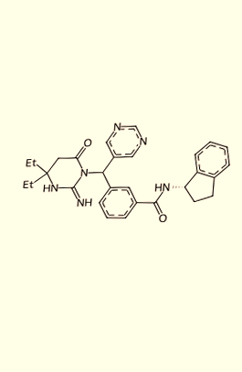 CCC1(CC)CC(=O)N(C(c2cncnc2)c2cccc(C(=O)N[C@H]3CCc4ccccc43)c2)C(=N)N1